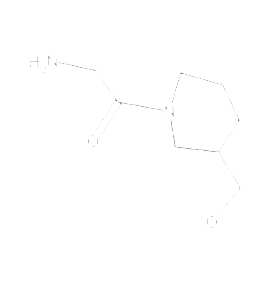 NCC(=O)N1CCCC(C[O])C1